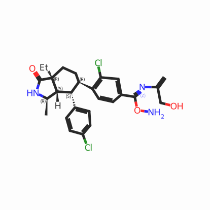 C=C(CO)/N=C(\ON)c1ccc([C@@H]2CC[C@@]3(CC)C(=O)N[C@H](C)[C@H]3[C@H]2c2ccc(Cl)cc2)c(Cl)c1